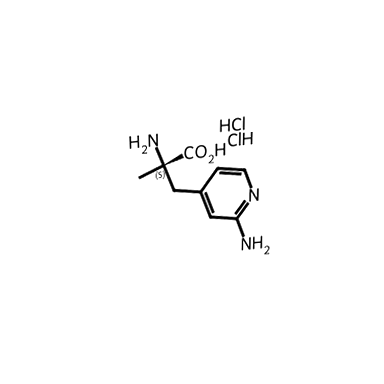 C[C@](N)(Cc1ccnc(N)c1)C(=O)O.Cl.Cl